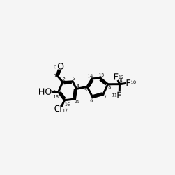 O=Cc1cc(-c2ccc(C(F)(F)F)cc2)cc(Cl)c1O